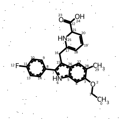 CCOc1cc2[nH]c(-c3ccc(F)cc3)c(CC3=CC=CC(C(=O)O)N3)c2cc1C